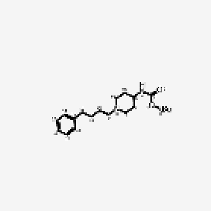 CC(C)(C)OC(=O)NC1CCN(CCCCc2ccccc2)CC1